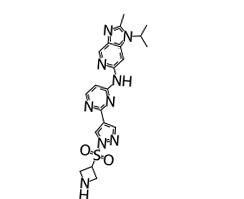 Cc1nc2cnc(Nc3ccnc(-c4cnn(S(=O)(=O)C5CNC5)c4)n3)cc2n1C(C)C